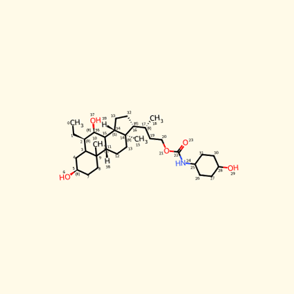 CC[C@@H]1C2C[C@H](O)CCC2(C)[C@H]2CC[C@]3(C)[C@@H]([C@H](C)CCOC(=O)NC4CCC(O)CC4)CC[C@H]3C2[C@@H]1O